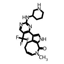 CN1C=CCCc2c(-c3nc(NC4CCCNC4)ncc3C(F)(F)F)c[nH]c2C1=O